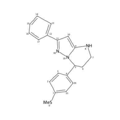 CSc1ccc(C2CCNc3cc(-c4ccccc4)nn32)cc1